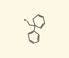 BrCC1(c2ccccc2)C=CC=CC1